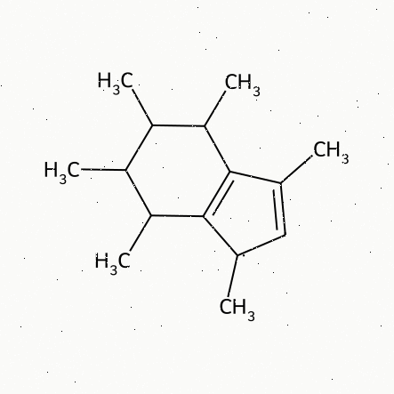 C[C]1C=C(C)C2=C1C(C)C(C)C(C)C2C